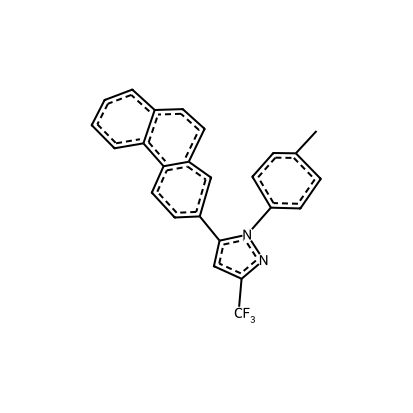 Cc1ccc(-n2nc(C(F)(F)F)cc2-c2ccc3c(ccc4ccccc43)c2)cc1